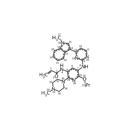 C=CC(=O)Nc1cc(Nc2nccc(-c3cn(C)c4ccccc34)n2)c(OC(C)C)nc1N1CCN(C)CC1